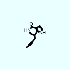 CC#CCC1CNC(=O)c2cc[nH]c21